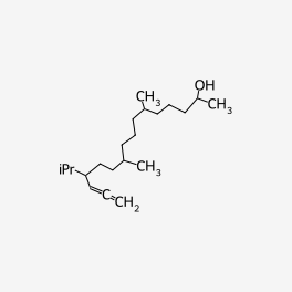 C=C=CC(CCC(C)CCCC(C)CCCC(C)O)C(C)C